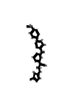 COc1ccc(-c2ccc(Nc3cccc(C(=O)NCc4ccc(C)o4)c3)nn2)cc1